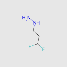 NNCCC(F)F